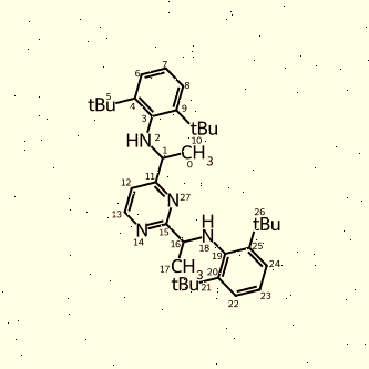 CC(Nc1c(C(C)(C)C)cccc1C(C)(C)C)c1ccnc(C(C)Nc2c(C(C)(C)C)cccc2C(C)(C)C)n1